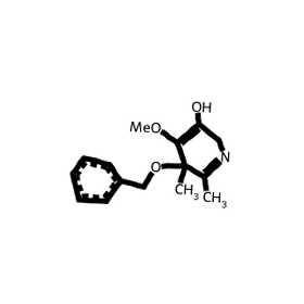 COC1=C(O)CN=C(C)C1(C)OCc1ccccc1